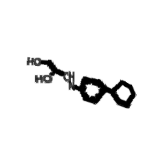 OC[C@H](O)CNc1ccc(C2CCCCC2)cc1